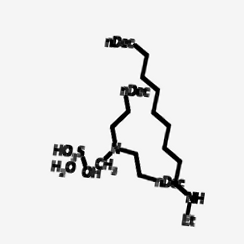 CCCCCCCCCCCCCCCCCCNCC.CCCCCCCCCCCCN(C)CCCCCCCCCCCC.O.O=S(=O)(O)O